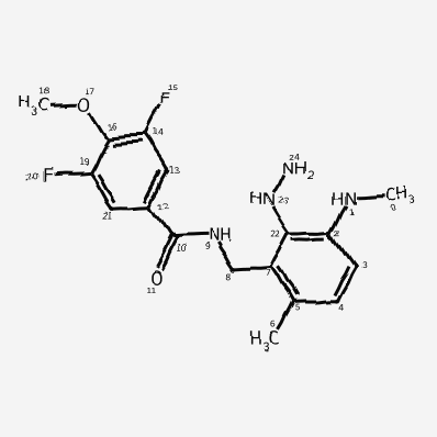 CNc1ccc(C)c(CNC(=O)c2cc(F)c(OC)c(F)c2)c1NN